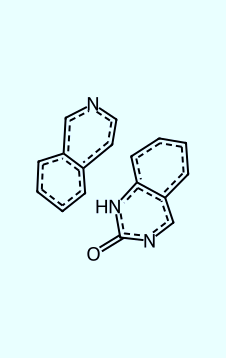 O=c1ncc2ccccc2[nH]1.c1ccc2cnccc2c1